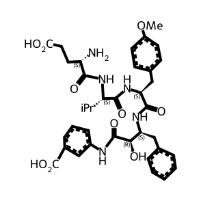 COc1ccc(C[C@H](NC(=O)[C@@H](NC(=O)[C@@H](N)CCC(=O)O)C(C)C)C(=O)N[C@@H](Cc2ccccc2)[C@@H](O)C(=O)Nc2cccc(C(=O)O)c2)cc1